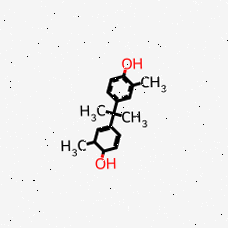 Cc1cc(C(C)(C)C2=CC(C)C(O)C=C2)ccc1O